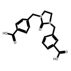 O=C(O)c1ccc(CN2CCN(Cc3cccc(C(=O)O)c3)C2=O)cc1